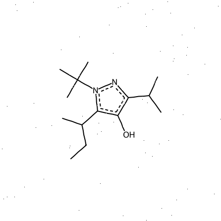 CCC(C)c1c(O)c(C(C)C)nn1C(C)(C)C